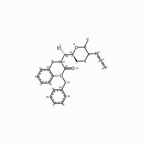 CC[C@H]([C@@H]1CCC(N=[N+]=[N-])C(C)O1)N(Cc1ccccc1)C(=O)OCc1ccccc1